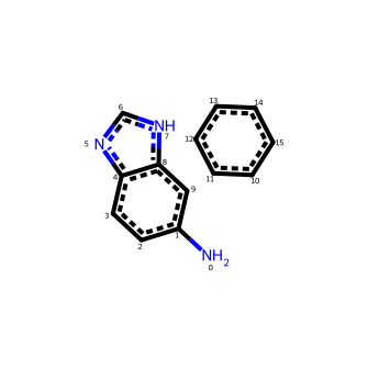 Nc1ccc2nc[nH]c2c1.c1ccccc1